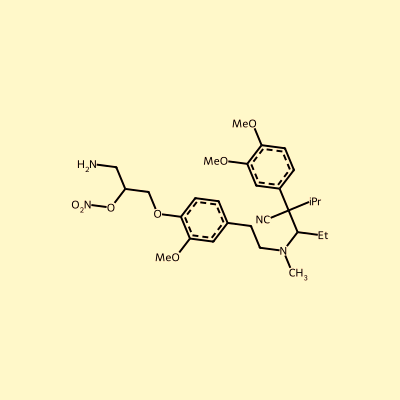 CCC(N(C)CCc1ccc(OCC(CN)O[N+](=O)[O-])c(OC)c1)C(C#N)(c1ccc(OC)c(OC)c1)C(C)C